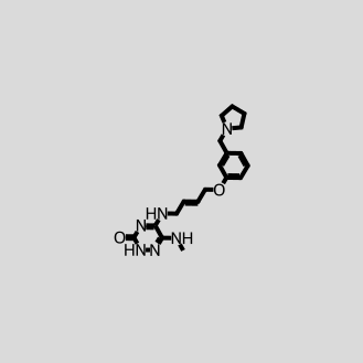 CNc1n[nH]c(=O)nc1NCC=CCOc1cccc(CN2CCCC2)c1